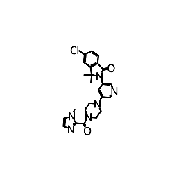 Cn1ccnc1C(=O)N1CCN(c2cncc(N3C(=O)c4ccc(Cl)cc4C3(C)C)c2)CC1